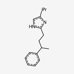 CC(C)c1c[nH]c(CCC(C)c2ccccc2)n1